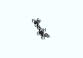 O=C(CC(C(F)F)n1ccc(F)n1)N1CCC(O)(Cn2cnc3c(-c4ccc5c(c4Cl)C[CH]C5)scc3c2=O)CC1